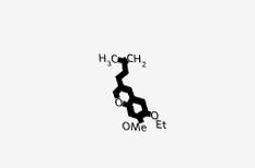 C=C(C)CCC1=Cc2cc(OCC)c(OC)cc2OC1